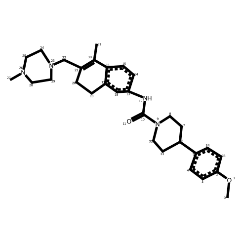 COc1ccc(C2CCN(C(=O)Nc3ccc4c(c3)CCC(CN3CCN(C)CC3)=C4C)CC2)cc1